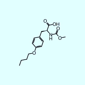 CCCCOc1ccc(C[C@H](NC(=O)OC)C(=O)O)cc1